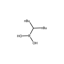 CCCCC(CCCC)B(O)O